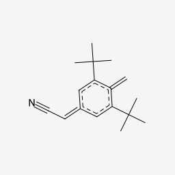 C=c1c(C(C)(C)C)cc(=CC#N)cc1C(C)(C)C